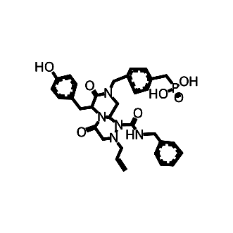 C=CCN1CC(=O)N2C(Cc3ccc(O)cc3)C(=O)N(Cc3ccc(CP(=O)(O)O)cc3)CC2N1C(=O)NCc1ccccc1